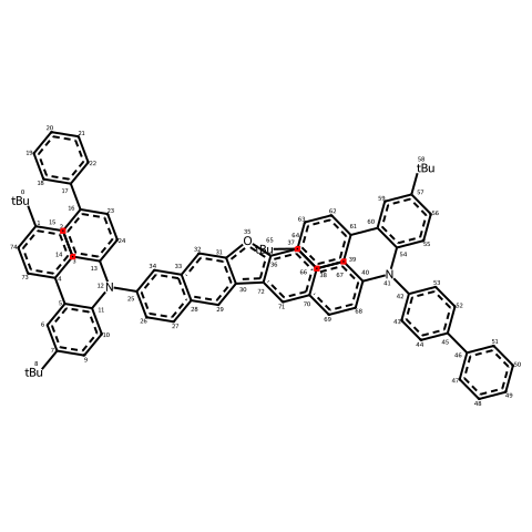 CC(C)(C)c1ccc(-c2cc(C(C)(C)C)ccc2N(c2ccc(-c3ccccc3)cc2)c2ccc3cc4c(cc3c2)oc2cc3cc(N(c5ccc(-c6ccccc6)cc5)c5ccc(C(C)(C)C)cc5-c5ccc(C(C)(C)C)cc5)ccc3cc24)cc1